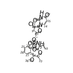 C=C[C@H](NP(=O)(OC[C@@H]1C[C@H](Cl)[C@H](n2ccc(=O)[nH]c2=O)O1)Oc1ccccc1)C(=O)OC(C)COC